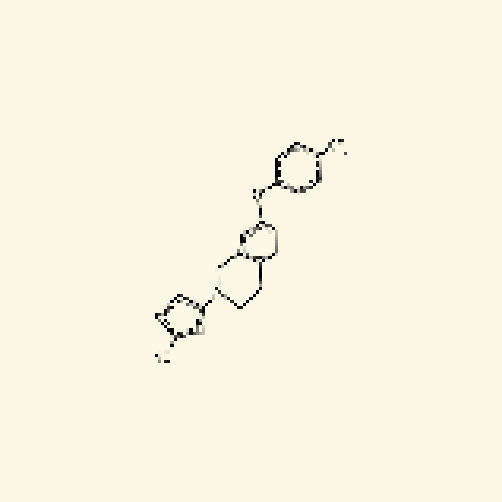 N#Cc1nc(N2CCc3ccc(Oc4ccc(C(F)(F)F)cc4)cc3C2)cs1